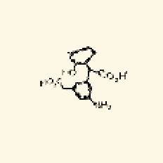 Nc1cc(CC(=O)O)cc(C(C(=O)O)c2cc[c]cc2O)c1